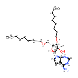 C[C@@]1(O)[C@H](OCCCCCCCC=O)[C@@H](COCCCCCCCC=O)O[C@H]1n1ccc2c(N)ncnc21